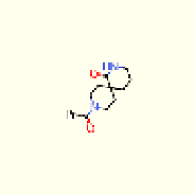 CC(C)C(=O)N1CCC2(CCCNC2=O)CC1